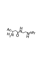 CCCNCCNC(=O)CC(N)C(C)=O